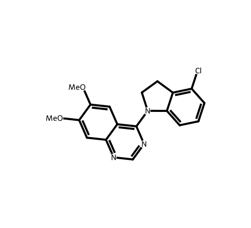 COc1cc2ncnc(N3CCc4c(Cl)cccc43)c2cc1OC